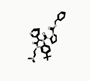 CN(C)CCNC(=O)C(c1cccnc1)N(C(=O)[C@H]1CCCN1C(=O)OCc1ccccc1)c1ccc(C(C)(C)C)cc1